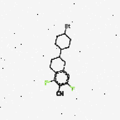 CCC1CCC(C2CCc3c(cc(F)c(C#N)c3F)C2)CC1